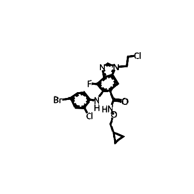 O=C(NOCC1CC1)c1cc2c(ncn2CCCl)c(F)c1Nc1ccc(Br)cc1Cl